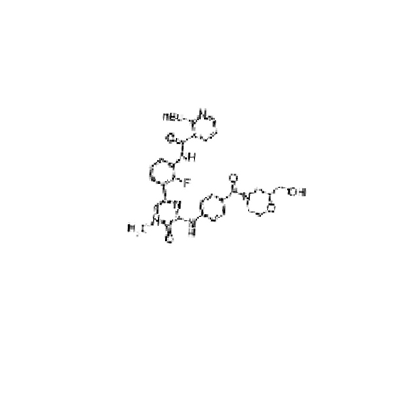 CCCCc1ncccc1C(=O)Nc1cccc(-c2cn(C)c(=O)c(Nc3ccc(C(=O)N4CCOC(CO)C4)cc3)n2)c1F